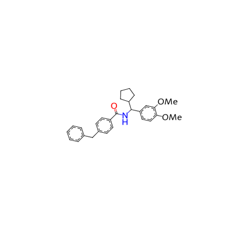 COc1ccc(C(NC(=O)c2ccc(Cc3ccccc3)cc2)C2CCCC2)cc1OC